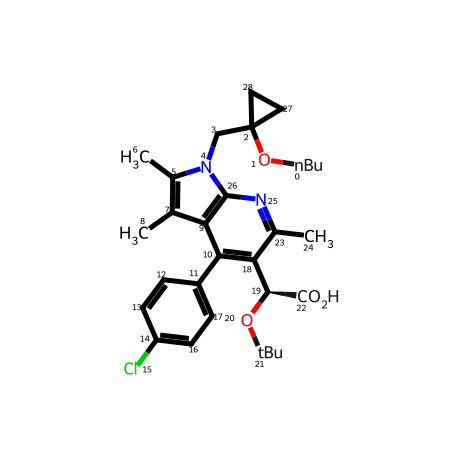 CCCCOC1(Cn2c(C)c(C)c3c(-c4ccc(Cl)cc4)c([C@H](OC(C)(C)C)C(=O)O)c(C)nc32)CC1